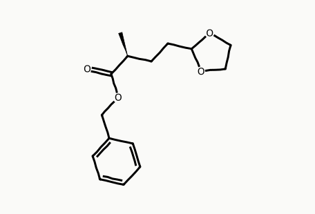 C[C@@H](CCC1OCCO1)C(=O)OCc1ccccc1